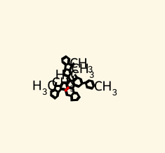 Cc1ccc(-c2cc(C)c(N(c3ccc4c(c3)C(C)(C)c3ccccc3-4)c3ccc4c(c3)C(C)(C)c3ccccc3-4)c(-c3cccc4ccccc34)c2)cc1